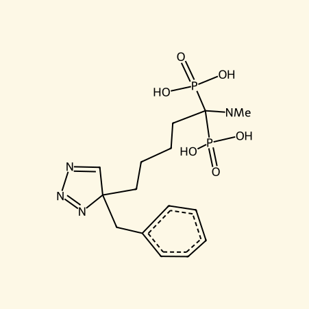 CNC(CCCCC1(Cc2ccccc2)C=NN=N1)(P(=O)(O)O)P(=O)(O)O